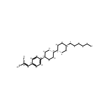 CCCCCC[C@H]1CC[C@H]([C@H]2CC[C@H](c3ccc(C=C(F)F)cc3)CC2)CC1